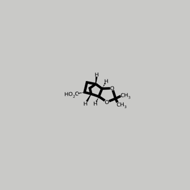 CC1(C)O[C@@H]2[C@@H]3C[C@H]([C@@H]2O1)[C@H](C(=O)O)C3